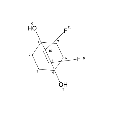 OC12CCC(O)(CC1)C(F)=C2F